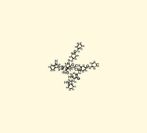 CC(C)(C)OC(=O)N(CCN[C@H](CC(=O)O)Cc1c[nH]c2ccccc12)CCc1ccc(OCc2ccccc2)cc1.O=C1C(Cc2c[nH]c3ccccc23)NCCN1CCc1ccc(OCc2ccccc2)cc1